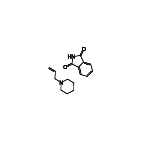 C=CCN1CCCCC1.O=C1NC(=O)c2ccccc21